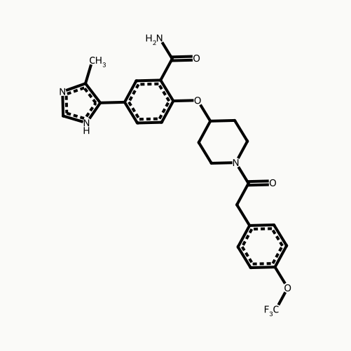 Cc1nc[nH]c1-c1ccc(OC2CCN(C(=O)Cc3ccc(OC(F)(F)F)cc3)CC2)c(C(N)=O)c1